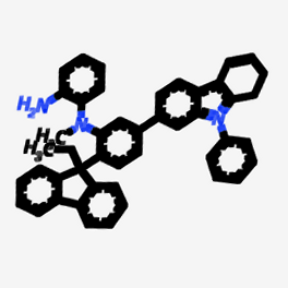 CCC1(c2ccc(-c3ccc4c5c(n(-c6ccccc6)c4c3)CCC=C5)cc2N(C)c2ccccc2N)c2ccccc2-c2ccccc21